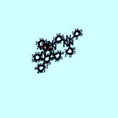 c1ccc(-c2nc(-c3ccccc3)nc(-c3cccc(-c4nc(-c5ccccc5)nc(-n5c6ccccc6c6cc(-c7ccccc7)c7c8ccccc8n(-c8ccccc8)c7c65)n4)c3)n2)cc1